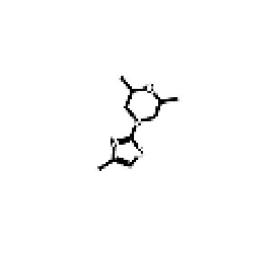 Cc1csc(N2CC(C)OC(C)C2)n1